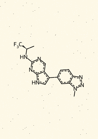 C[C@@H](Nc1ncc2c(-c3ccc4nnn(C)c4c3)c[nH]c2n1)C(F)(F)F